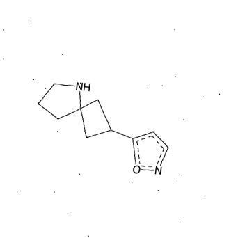 c1cc(C2CC3(CCCN3)C2)on1